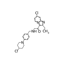 CCc1nc2cc(Cl)ccn2c1C(=O)CNCc1ccc(N2CCC(Cl)CC2)cc1